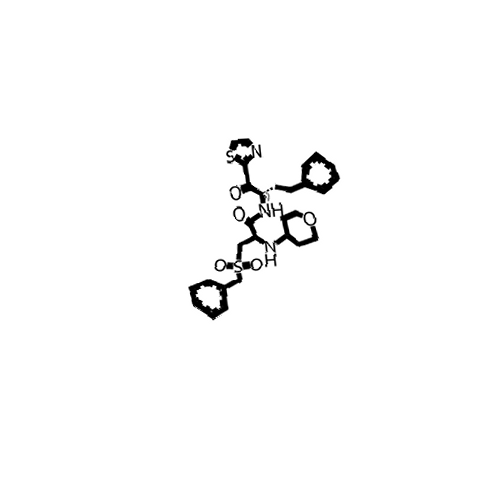 O=C(N[C@@H](CCc1ccccc1)C(=O)c1nccs1)C(CS(=O)(=O)Cc1ccccc1)NC1CCOCC1